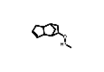 CPOC1CC2CC1C1C=CCC21